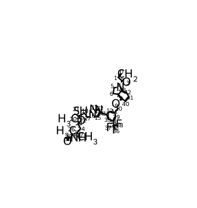 C=CC(=O)N1CCc2c(OCc3cc(-c4cn(CCC(C)(S)OCCC(C)(C)NC=O)nn4)cc(C(F)(F)F)c3)cccc21